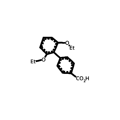 CCOc1cccc(OCC)c1-c1ccc(C(=O)O)cc1